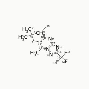 Cc1c(CC(C)(C)C)c(CI)nc2nc(C(F)(F)F)nn12